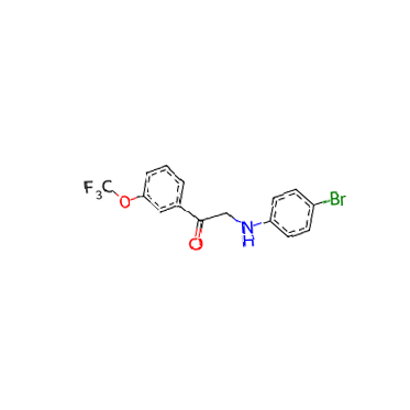 O=C(CNc1ccc(Br)cc1)c1cccc(OC(F)(F)F)c1